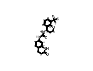 O=C1CCc2ccc(NC(=O)N[C@@H]3CCOc4c3cccc4C(F)(F)F)cc2N1